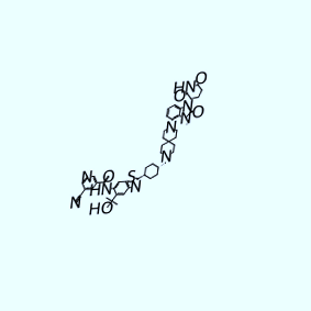 Cn1c(=O)n(C2CCC(=O)NC2=O)c2cccc(N3CCC4(CCN(C[C@H]5CC[C@H](c6nc7cc(C(C)(C)O)c(NC(=O)c8cncc(C#N)c8)cc7s6)CC5)CC4)CC3)c21